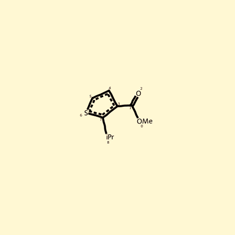 COC(=O)c1ccsc1C(C)C